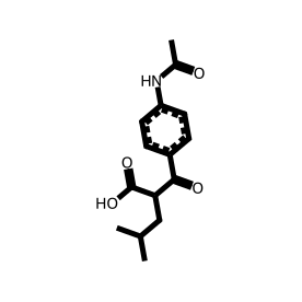 CC(=O)Nc1ccc(C(=O)C(CC(C)C)C(=O)O)cc1